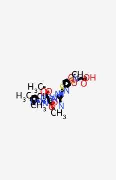 CCOC(=O)c1nc(Nc2c(C)cc(C)cc2C)nc(C(=O)OCC)c1N=Nc1nn(-c2nc3cc(S(=O)(=O)N(C)CCC(=O)O)ccc3s2)cc1C#N